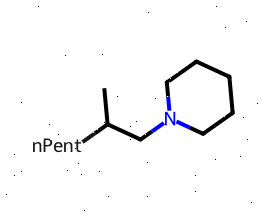 CCCCCC(C)CN1CCCCC1